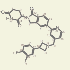 O=C1CCC(N2Cc3cc(-c4cc(CN5CC(c6ccc(F)c(F)c6)C5)ccn4)ccc3C2=O)C(=O)N1